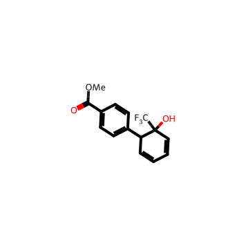 COC(=O)c1ccc(C2C=CC=CC2(O)C(F)(F)F)cc1